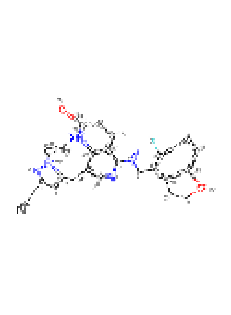 Cc1cc(-c2cnc(NCc3c(F)ccc4c3CCO4)c3ccc(=O)[nH]c23)n(C)n1